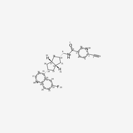 C#Cc1ccc(C(=O)NC[C@@H]2C[C@@H]3C[C@H](c4ccnc5ccc(F)cc45)C[C@@H]3C2)cn1